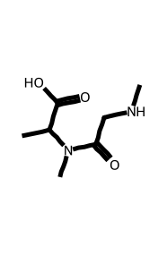 CNCC(=O)N(C)C(C)C(=O)O